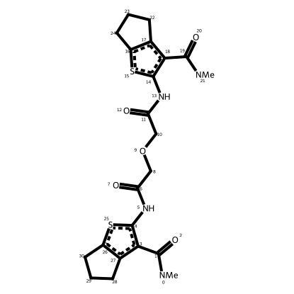 CNC(=O)c1c(NC(=O)COCC(=O)Nc2sc3c(c2C(=O)NC)CCC3)sc2c1CCC2